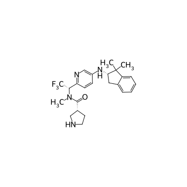 CN(C(=O)[C@@H]1CCNC1)[C@@H](c1ccc(N[C@H]2Cc3ccccc3C2(C)C)cn1)C(F)(F)F